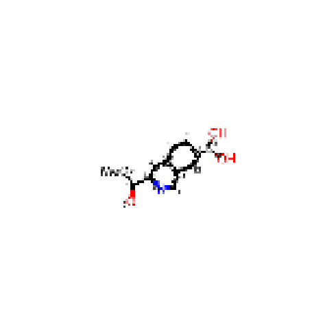 COC(=O)c1cc2ccc(B(O)O)cc2cn1